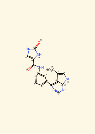 O=C(Nc1cccc(-c2ncnc3[nH]cc(C(=O)O)c23)c1)c1c[nH]c(=O)[nH]1